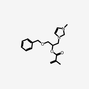 C=C(C)C(=O)OC(COCc1ccccc1)CN1C=CN(C)C1